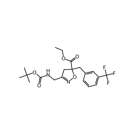 CCOC(=O)C1(Cc2cccc(C(F)(F)F)c2)CC(CNC(=O)OC(C)(C)C)=NO1